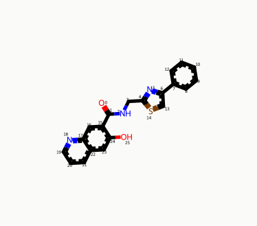 O=C(NCc1nc(-c2ccccc2)cs1)c1cc2ncccc2cc1O